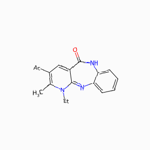 CCN1C2=Nc3ccccc3NC(=O)C2=CC(C(C)=O)=C1C